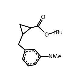 CNc1cccc(CC2CC2C(=O)OC(C)(C)C)c1